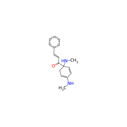 CNC1=CCC(NC)(C(=O)C=Cc2ccccc2)C=C1